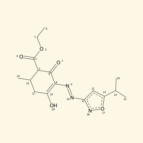 CCOC(=O)C1C(=O)C(N=Nc2cc(C(C)C)on2)=C(O)CC1C